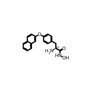 N[C@@H](Cc1ccc(Oc2ccc3ccccc3c2)cc1)C(=O)NO